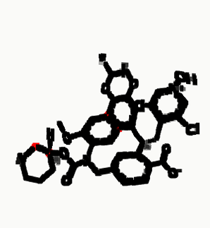 COc1cc([C@H](Cc2c(Cl)c[n+](O)cc2Cl)c2cc(CN(C(=O)O[C@H]3CN4CCC3CC4)c3ccccc3OC)ccc2C(=O)[O-])ccc1OC(F)F